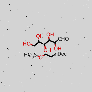 CCCCCCCCCCCCOS(=O)(=O)O.O=CC(O)C(O)C(O)C(O)CO